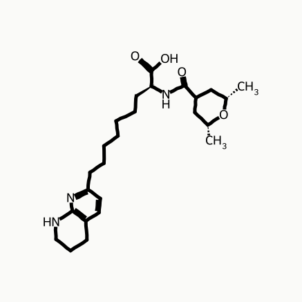 C[C@@H]1CC(C(=O)N[C@@H](CCCCCCCc2ccc3c(n2)NCCC3)C(=O)O)C[C@H](C)O1